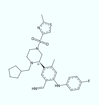 Cc1nc(S(=O)(=O)N2CCN(CC3CCCC3)[C@H](c3cc(C=N)c(Nc4ccc(F)cc4)cc3C)C2)cs1